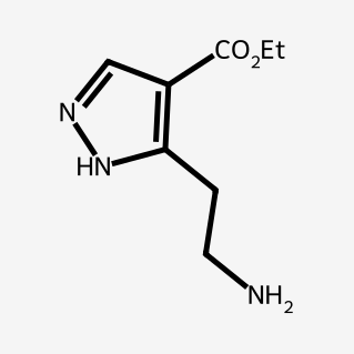 CCOC(=O)c1cn[nH]c1CCN